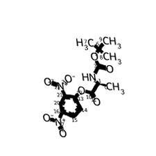 C[C@H](NC(=O)OC(C)(C)C)C(=O)Oc1ccc([N+](=O)[O-])cc1[N+](=O)[O-]